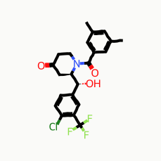 Cc1cc(C)cc(C(=O)N2CCC(=O)C[C@@H]2[C@H](O)c2ccc(Cl)c(C(F)(F)F)c2)c1